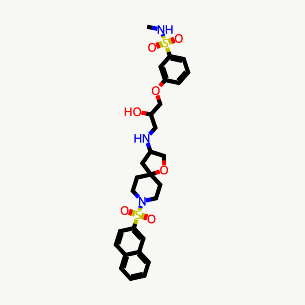 CNS(=O)(=O)c1cccc(OCC(O)CNC2COC3(CCN(S(=O)(=O)c4ccc5ccccc5c4)CC3)C2)c1